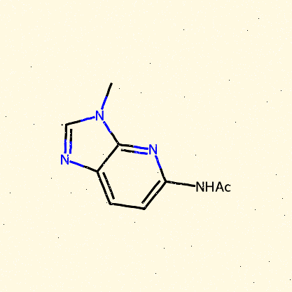 CC(=O)Nc1ccc2n[c]n(C)c2n1